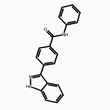 O=C(Nc1ccccc1)c1ccc(-c2n[nH]c3ccccc23)cc1